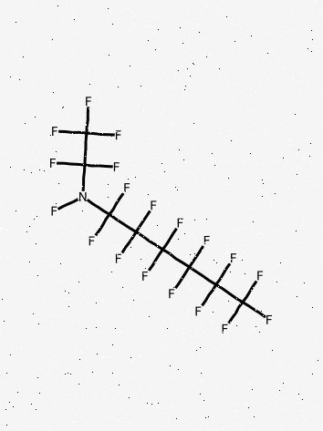 FN(C(F)(F)C(F)(F)F)C(F)(F)C(F)(F)C(F)(F)C(F)(F)C(F)(F)C(F)(F)F